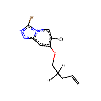 C=CCC(CC)(CC)COc1cc2nnc(Br)n2cc1CC